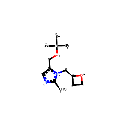 CC(C)[Si](OCc1cnc(C=O)n1C[C@@H]1CCO1)(C(C)C)C(C)C